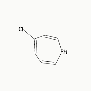 ClC1=CC=CPC=C1